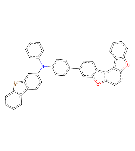 c1ccc(N(c2ccc(-c3ccc4c(c3)oc3ccc5oc6ccccc6c5c34)cc2)c2ccc3c(c2)sc2ccccc23)cc1